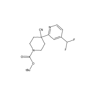 CC(C)(C)OC(=O)N1CCC(C#N)(c2cc(C(F)F)ccn2)CC1